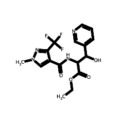 CCOC(=O)C(NC(=O)c1cn(C)nc1C(F)(F)F)C(O)c1cccnc1